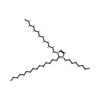 CCCCCCCCCCCCCCCC1N(CCCCCCCC)C=CN1CCCCCCCCCCCCC